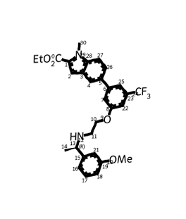 CCOC(=O)c1cc2cc(-c3cc(OCCN[C@H](C)c4cccc(OC)c4)cc(C(F)(F)F)c3)ccc2n1C